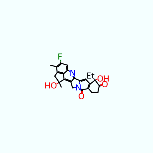 CC[C@@]1(O)C(=O)CCc2c1cc1n(c2=O)Cc2c-1nc1cc(F)c(C)c3c1c2C(C)(O)C3